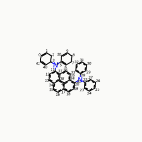 C1=CCC(N(C2=CCCC=C2)c2ccc3ccc4ccc(N(c5ccccc5)c5ccccc5)c5ccc2c3c45)C=C1